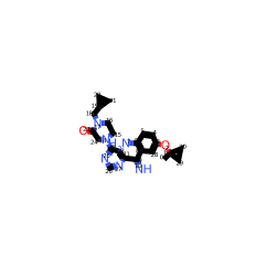 CC1(Oc2ccc(N)c(C(=N)c3cc(N4CCN(CC5CC5)C(=O)C4)ncn3)c2)CC1